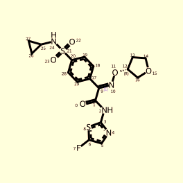 O=C(Nc1ncc(F)s1)/C(=N/O[C@@H]1CCOC1)c1ccc(S(=O)(=O)NC2CC2)cc1